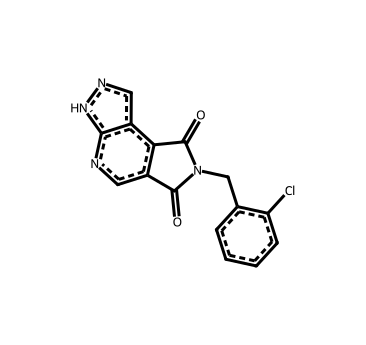 O=C1c2cnc3[nH]ncc3c2C(=O)N1Cc1ccccc1Cl